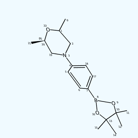 CC1CN(c2ccc(B3OC(C)(C)C(C)(C)O3)cc2)C[C@@H](C)O1